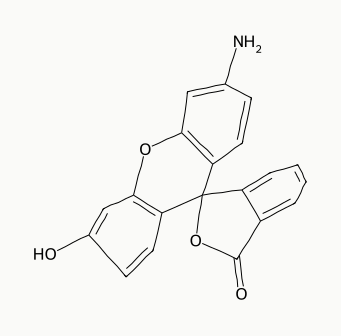 Nc1ccc2c(c1)Oc1cc(O)ccc1C21OC(=O)c2ccccc21